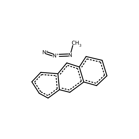 CN=[N+]=[N-].c1ccc2cc3ccccc3cc2c1